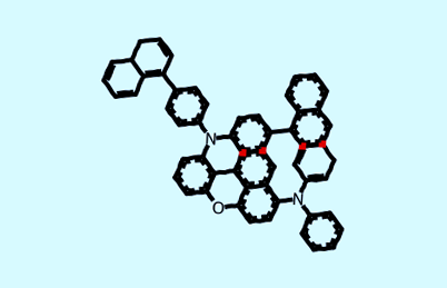 C1=CC2=C(c3ccc(N(c4ccc(-c5cccc6ccccc56)cc4)c4cccc5c4-c4cccc6c(N(C7=CCCC=C7)c7ccccc7)ccc(c46)O5)cc3)C=CCC2C=C1